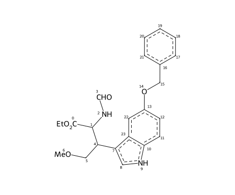 CCOC(=O)C(NC=O)C(COC)c1c[nH]c2ccc(OCc3ccccc3)cc12